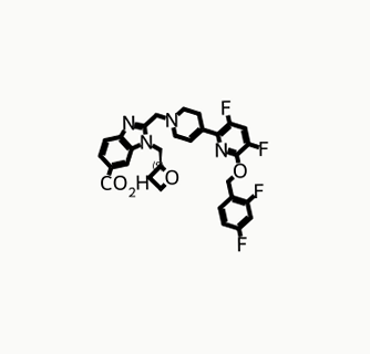 O=C(O)c1ccc2nc(CN3CC=C(c4nc(OCc5ccc(F)cc5F)c(F)cc4F)CC3)n(C[C@@H]3CCO3)c2c1